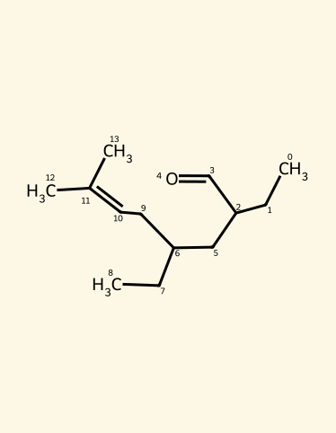 CCC(C=O)CC(CC)CC=C(C)C